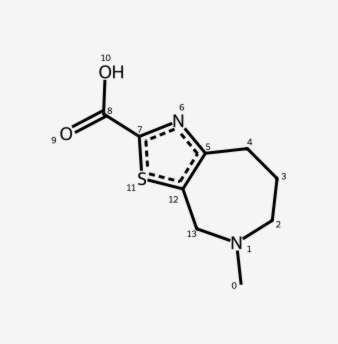 CN1CCCc2nc(C(=O)O)sc2C1